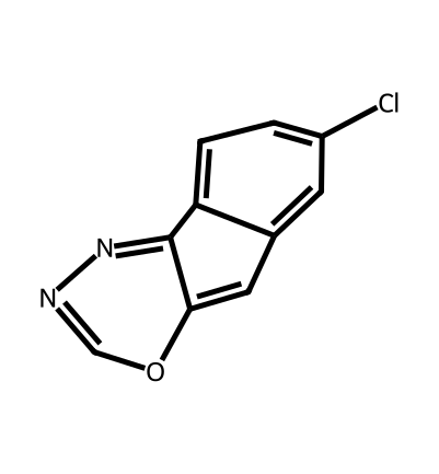 Clc1ccc2c3nncoc-3cc2c1